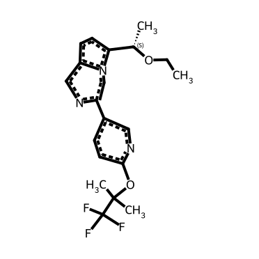 CCO[C@@H](C)c1ccc2cnc(-c3ccc(OC(C)(C)C(F)(F)F)nc3)cn12